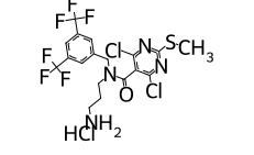 CSc1nc(Cl)c(C(=O)N(CCCN)Cc2cc(C(F)(F)F)cc(C(F)(F)F)c2)c(Cl)n1.Cl